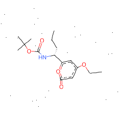 CCC[C@@H](NC(=O)OC(C)(C)C)c1cc(OCC)cc(=O)o1